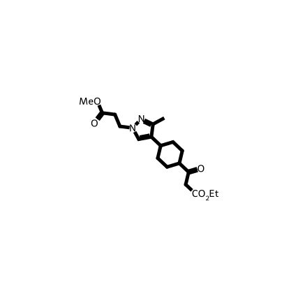 CCOC(=O)CC(=O)C1CCC(c2cn(CCC(=O)OC)nc2C)CC1